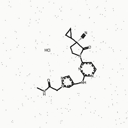 CNC(=O)Cn1cc(Nc2nccc(N3CC[C@@](C#N)(C4CC4)C3=O)n2)cn1.Cl